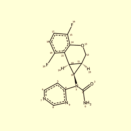 NC(=O)N(c1ccncn1)[C@@H]1[C@@H]2COc3c(F)ccc(F)c3[C@@H]21